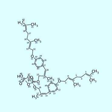 CC(C)=CCC/C(C)=C/COc1ccc(/C=C(/C)COP(=O)(OC/C(C)=C\c2ccc(OC/C=C(\C)CCC=C(C)C)cc2)OP(=O)(O)O)cc1